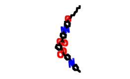 CCCCCCCCOc1ccc(/N=N/c2ccc(C(=O)Oc3cccc(OC(=O)c4ccc(/N=N/c5ccc(C)cc5)cc4)c3)cc2)cc1